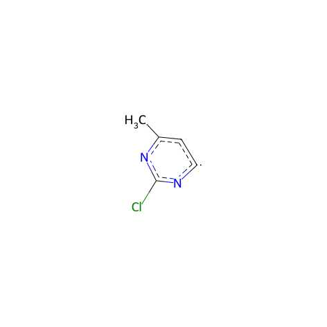 Cc1c[c]nc(Cl)n1